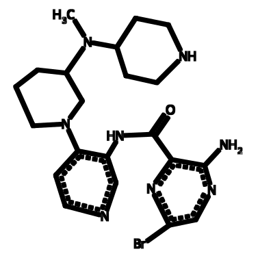 CN(C1CCNCC1)C1CCCN(c2ccncc2NC(=O)c2nc(Br)cnc2N)C1